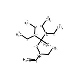 C=C[SiH](CC)OC(C)(N(CC)CC)N(CC)CC